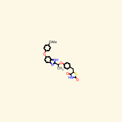 COc1ccc(Oc2ccc3nc(C(C)Oc4ccc(CC5SC(=O)NC5=O)cc4)[nH]c3c2)cc1